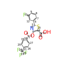 O=C(Oc1nc(-c2cccc(F)c2)sc1C(=O)O)c1ccc(C(F)(F)F)cc1